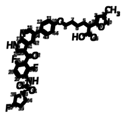 Cc1cc(C(CCCCOc2ccc(-c3cnc4[nH]cc(C(=O)c5c(F)ccc(NS(=O)(=O)N6CC[C@@H](F)C6)c5F)c4c3)cc2)C(=O)O)on1